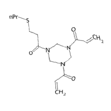 C=CC(=O)N1CN(C(=O)C=C)CN(C(=O)CCSCCC)C1